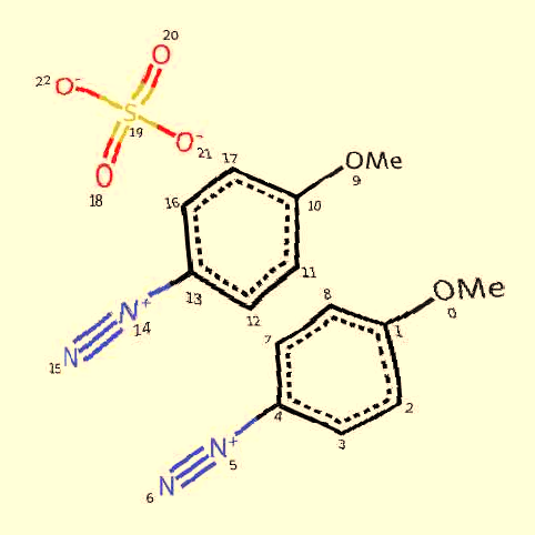 COc1ccc([N+]#N)cc1.COc1ccc([N+]#N)cc1.O=S(=O)([O-])[O-]